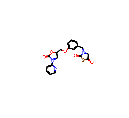 O=C1CN(Cc2cccc(OCC3CN(c4ccccn4)C(=O)O3)c2)C(=O)S1